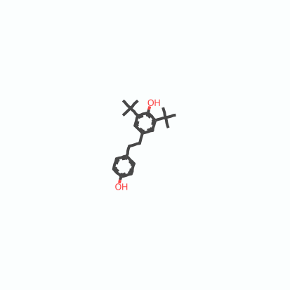 CC(C)(C)c1cc(CCc2ccc(O)cc2)cc(C(C)(C)C)c1O